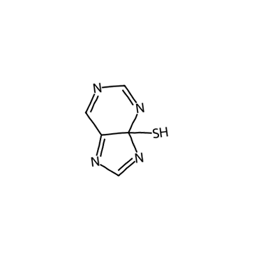 SC12N=CN=CC1=NC=N2